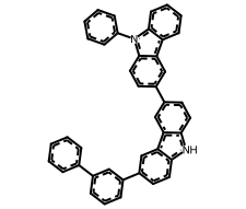 c1ccc(-c2cccc(-c3ccc4[nH]c5ccc(-c6ccc7c(c6)c6ccccc6n7-c6ccccc6)cc5c4c3)c2)cc1